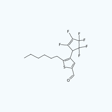 CCCCCCc1sc(C=O)cc1C1C(F)=C(F)C(F)(F)C1(F)F